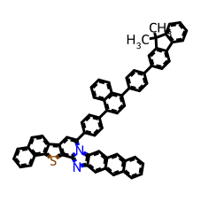 CC1(C)c2ccccc2-c2ccc(-c3ccc(-c4ccc(-c5ccc(-c6cc7c8ccc9ccccc9c8sc7c7nc8cc9cc%10ccccc%10cc9cc8n67)cc5)c5ccccc45)cc3)cc21